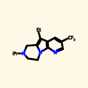 CCc1c2n(c3ncc(C(F)(F)F)cc13)CCN(C(C)C)C2